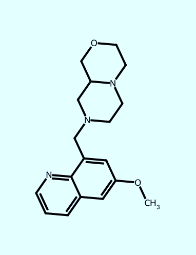 COc1cc(CN2CCN3CCOCC3C2)c2ncccc2c1